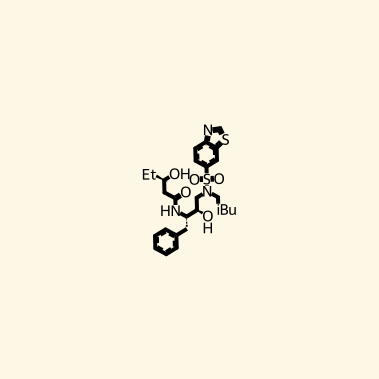 CCC(C)CN(C[C@@H](O)[C@H](Cc1ccccc1)NC(=O)C[C@H](O)CC)S(=O)(=O)c1ccc2ncsc2c1